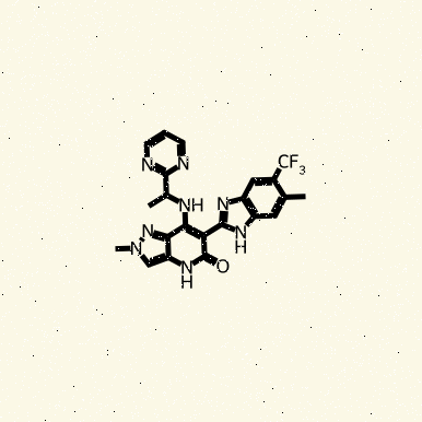 Cc1cc2[nH]c(-c3c(NC(C)c4ncccn4)c4nn(C)cc4[nH]c3=O)nc2cc1C(F)(F)F